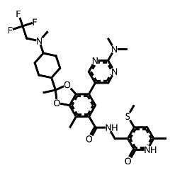 CSc1cc(C)[nH]c(=O)c1CNC(=O)c1cc(-c2cnc(N(C)C)nc2)c2c(c1C)OC(C)(C1CCC(N(C)CC(F)(F)F)CC1)O2